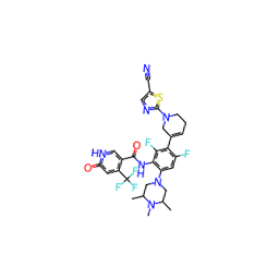 CC1CN(c2cc(F)c(C3=CCCN(c4ncc(C#N)s4)C3)c(F)c2NC(=O)c2c[nH]c(=O)cc2C(F)(F)F)CC(C)N1C